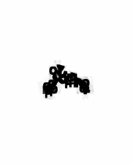 Cc1c(N2CCC(CNC(=O)OC(C)(C)C)C2)c(F)cc2c(COS(=O)(=O)C(F)(F)F)cc(=O)n(C3CC3)c12